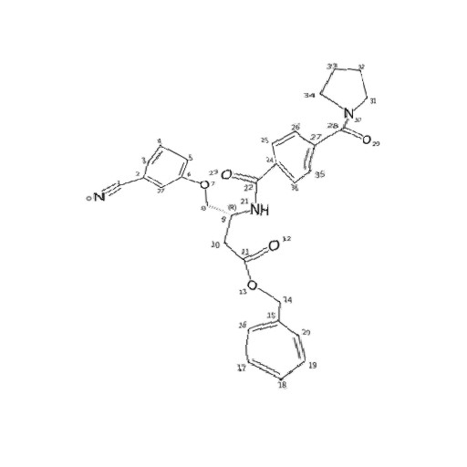 N#Cc1cccc(OC[C@@H](CC(=O)OCc2ccccc2)NC(=O)c2ccc(C(=O)N3CCCC3)cc2)c1